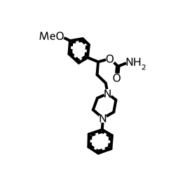 COc1ccc(C(CCN2CCN(c3ccccc3)CC2)OC(N)=O)cc1